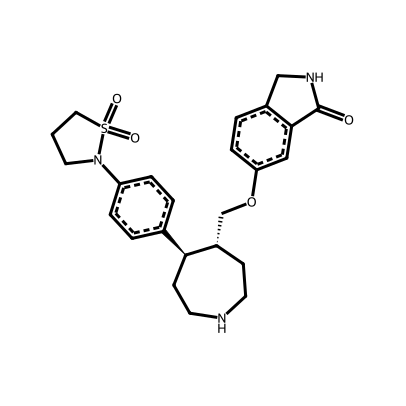 O=C1NCc2ccc(OC[C@@H]3CCNCC[C@H]3c3ccc(N4CCCS4(=O)=O)cc3)cc21